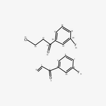 C=CC(=O)c1cccc(F)c1.O=C(CCCl)c1cccc(F)c1